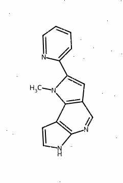 Cn1c(-c2ccccn2)cc2cnc3[nH]ccc3c21